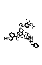 CNC(=O)[C@H](CCCc1ccccc1)NC(=O)C1CN(C(=O)c2cccc3[nH]ccc23)CC2CN(C(=O)c3ccc(OC(C)C)c(OC)c3)CC21